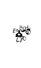 CCC(NCC(C)N1CCOCC1)c1ccc(Cl)c(Cl)c1